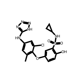 Cc1cc(Nc2nnn[nH]2)cc(Cl)c1Oc1ccc(O)c(S(=O)(=O)NC2CC2)c1